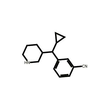 N#Cc1cccc(C(C2CC2)C2CCCNC2)c1